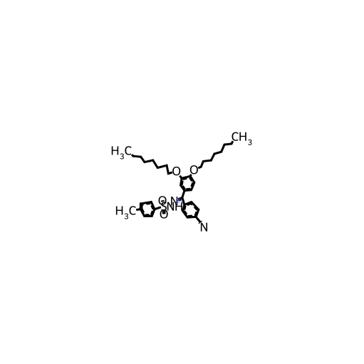 CCCCCCCCOc1ccc(/C(=N/NS(=O)(=O)c2ccc(C)cc2)c2ccc(C#N)cc2)cc1OCCCCCCCC